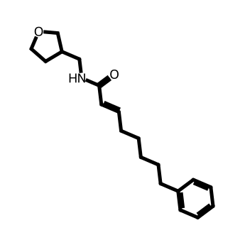 O=C(C=CCCCCCc1ccccc1)NCC1CCOC1